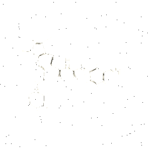 Cc1nn(C)c2nc(CCN3CCCCC3)c(C(=O)NC(=O)Nc3cccc(OC(C)C)c3)cc12